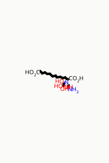 NCCN(C(CCCCCCCCCCCC(=O)O)C(=O)O)C(O)C(O)(O)O